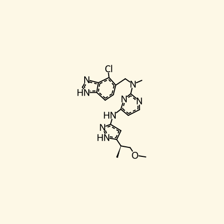 COC[C@@H](C)c1cc(Nc2ccnc(N(C)Cc3ccc4[nH]cnc4c3Cl)n2)n[nH]1